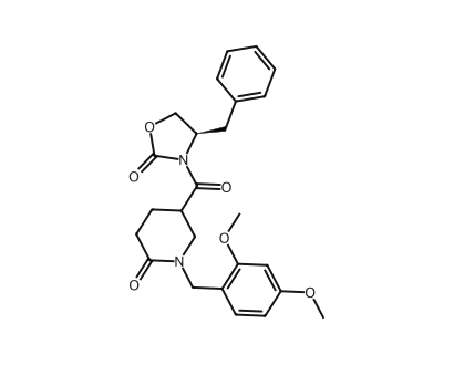 COc1ccc(CN2CC(C(=O)N3C(=O)OC[C@H]3Cc3ccccc3)CCC2=O)c(OC)c1